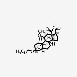 COCO[C@@H]1CC[C@@]2(C)[C@@H](CC[C@@H]3[C@@H]2[C@@H](OC)C[C@]2(C(C)=O)[C@@H](C=O)CC[C@@H]32)C1